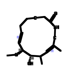 CO[C@H]1/C=C/CCCCC(=O)NC/C(C)=C\C(C)[C@@H]1O